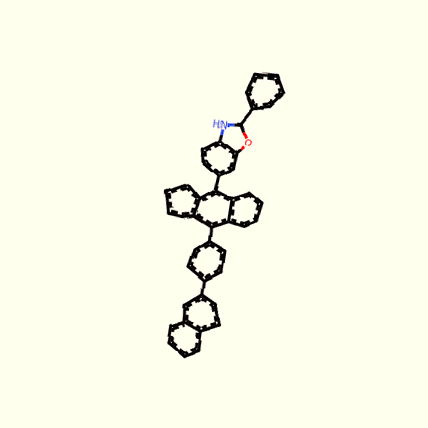 c1ccc(C2Nc3ccc(-c4c5ccccc5c(-c5ccc(-c6ccc7ccccc7c6)cc5)c5ccccc45)cc3O2)cc1